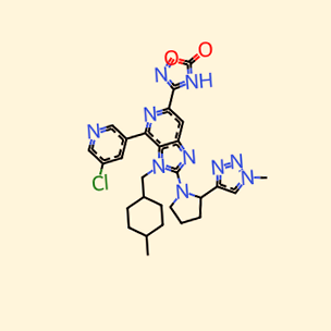 CC1CCC(Cn2c(N3CCCC3c3cn(C)nn3)nc3cc(-c4noc(=O)[nH]4)nc(-c4cncc(Cl)c4)c32)CC1